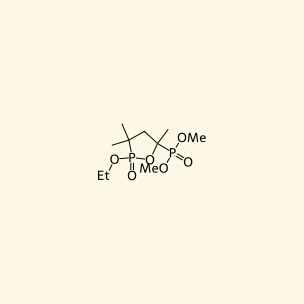 CCOP1(=O)OC(C)(P(=O)(OC)OC)CC1(C)C